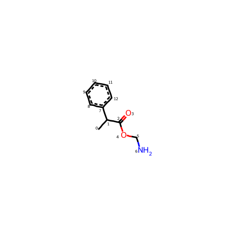 CC(C(=O)OCN)c1ccccc1